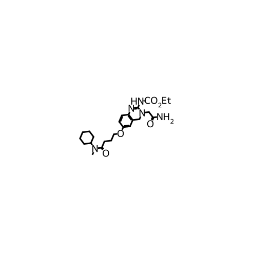 CCOC(=O)NC1=Nc2ccc(OCCCC(=O)N(C)C3CCCCC3)cc2CN1CC(N)=O